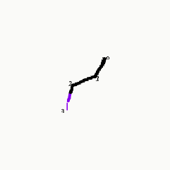 CC[CH]I